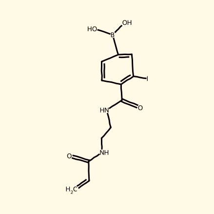 C=CC(=O)NCCNC(=O)c1ccc(B(O)O)cc1I